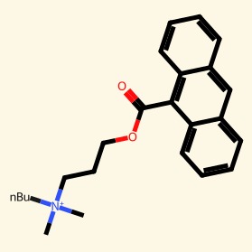 CCCC[N+](C)(C)CCCOC(=O)c1c2ccccc2cc2ccccc12